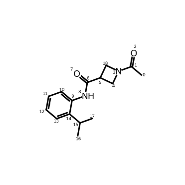 CC(=O)N1CC(C(=O)Nc2ccccc2C(C)C)C1